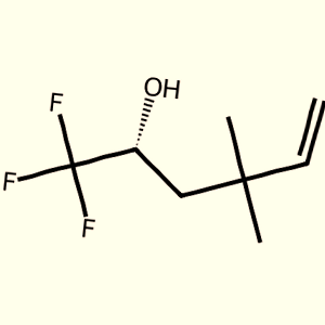 C=CC(C)(C)C[C@@H](O)C(F)(F)F